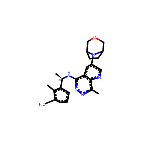 Cc1c([C@@H](C)Nc2nnc(C)c3ncc(N4C5CCC4COC5)cc23)cccc1C(F)(F)F